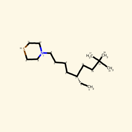 CC[C@H](CCCCN1CCSCC1)CCC(C)(C)C